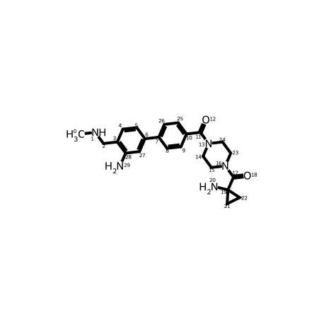 CNCc1ccc(-c2ccc(C(=O)N3CCN(C(=O)C4(N)CC4)CC3)cc2)cc1N